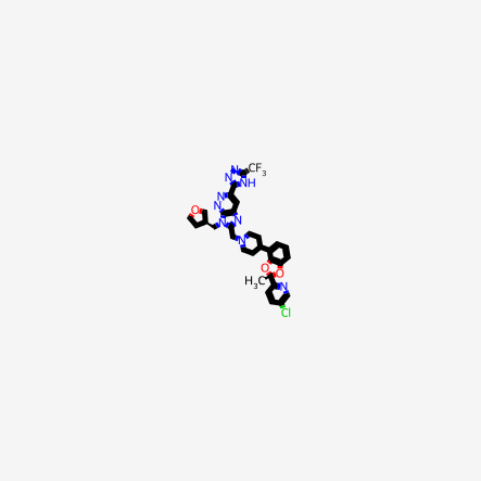 C[C@]1(c2ccc(Cl)cn2)Oc2cccc(C3CCN(Cc4nc5cc(-c6nnc(C(F)(F)F)[nH]6)nnc5n4C[C@H]4CCOC4)CC3)c2O1